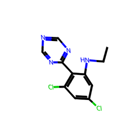 CCNc1cc(Cl)cc(Cl)c1-c1ncncn1